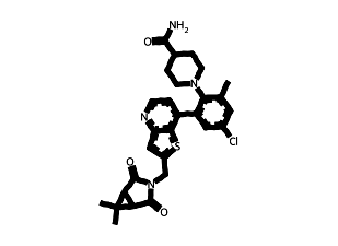 Cc1cc(Cl)cc(-c2ccnc3cc(CN4C(=O)C5C(C4=O)C5(C)C)sc23)c1N1CCC(C(N)=O)CC1